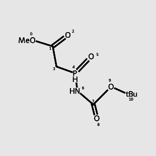 COC(=O)C[PH](=O)NC(=O)OC(C)(C)C